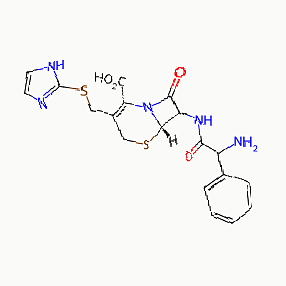 NC(C(=O)NC1C(=O)N2C(C(=O)O)=C(CSc3ncc[nH]3)CS[C@@H]12)c1ccccc1